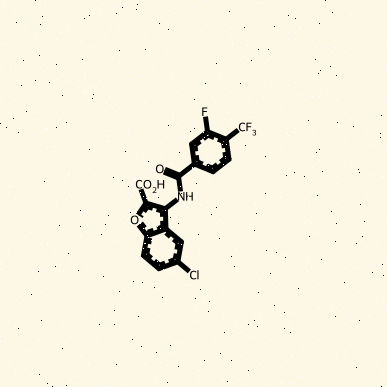 O=C(Nc1c(C(=O)O)oc2ccc(Cl)cc12)c1ccc(C(F)(F)F)c(F)c1